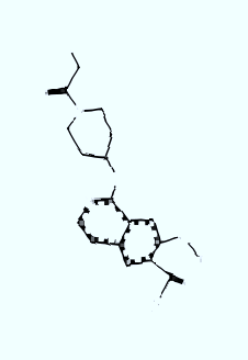 CC(C)Oc1cc2c(OC3CCN(C(=O)CO)CC3)nccc2cc1C(N)=O